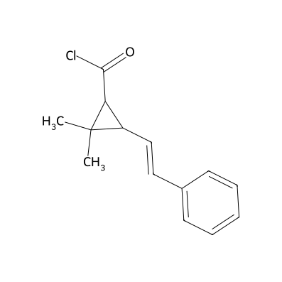 CC1(C)C(C=Cc2ccccc2)C1C(=O)Cl